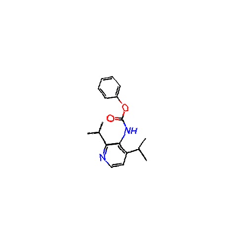 CC(C)c1ccnc(C(C)C)c1NC(=O)Oc1ccccc1